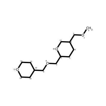 COCC1CCC(COCC2CCOCC2)OC1